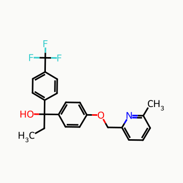 CCC(O)(c1ccc(OCc2cccc(C)n2)cc1)c1ccc(C(F)(F)F)cc1